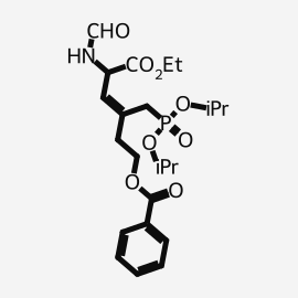 CCOC(=O)C(C=C(CCOC(=O)c1ccccc1)CP(=O)(OC(C)C)OC(C)C)NC=O